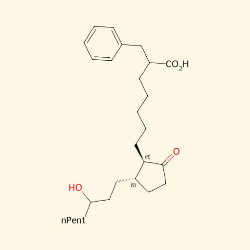 CCCCCC(O)CC[C@H]1CCC(=O)[C@@H]1CCCCCC(Cc1ccccc1)C(=O)O